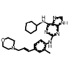 Cc1cc(C=CCN2CCOCC2)ccc1Nc1nc(NC2CCCCC2)c2nc[nH]c2n1